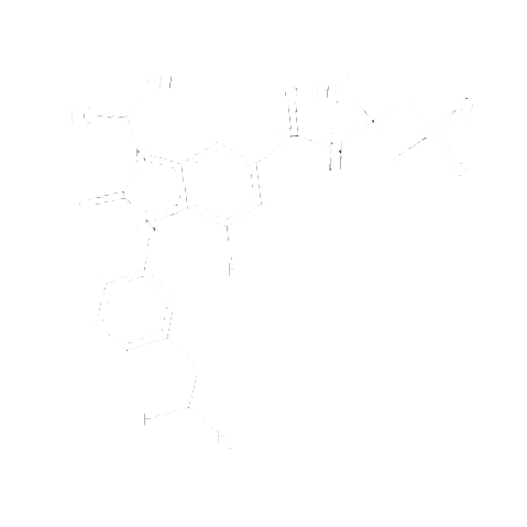 CC(C)n1c(=O)n(-c2cccc(OC(F)F)c2)c2c(F)cc(C(=O)NC3(C)CS(=O)(=O)C3)cc21